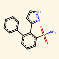 NS(=O)(=O)c1cccc(-c2ccccc2)c1-c1cc[nH]n1